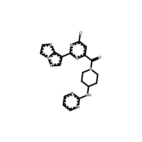 O=C(c1cc(Cl)nc(-c2cnn3ccsc23)n1)N1CCC(Nc2ncccn2)CC1